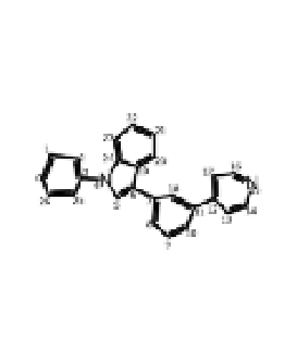 c1ccc(-n2cc(-c3cccc(-c4ccncc4)c3)c3ccccc32)cc1